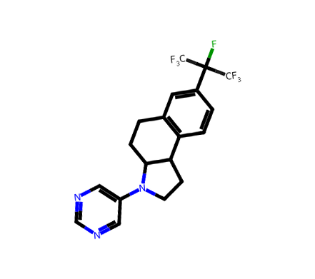 FC(F)(F)C(F)(c1ccc2c(c1)CCC1C2CCN1c1cncnc1)C(F)(F)F